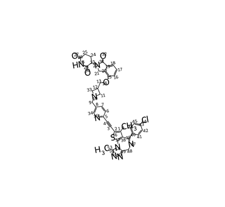 Cc1c(C#Cc2ccc(CN3CC(COc4cccc5c4CN(C4CCC(=O)NC4=O)C5=O)C3)cn2)sc2c1C(c1ccc(Cl)cc1)=NCc1nnc(C)n1-2